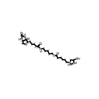 CC(C)(C)C1CN(CCCCCC(=O)OCCCCCNC(=O)CCCC[C@H]2SCC3NC(=O)N[C@@H]32)NN1